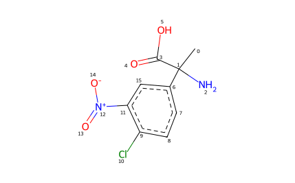 CC(N)(C(=O)O)c1ccc(Cl)c([N+](=O)[O-])c1